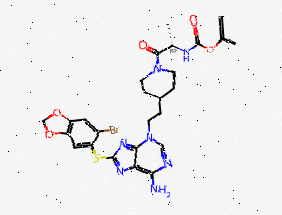 C=C(C)OC(=O)N[C@@H](C)C(=O)N1CCC(CCn2cnc(N)c3nc(Sc4cc5c(cc4Br)OCO5)nc2-3)CC1